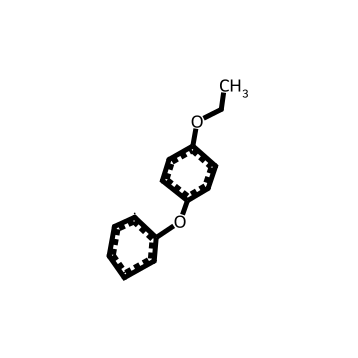 CCOc1ccc(Oc2[c]cccc2)cc1